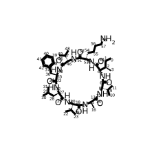 CC[C@@H](C)[C@H]1NC(=O)[C@H](C(C)C)NC(=O)[C@@H](C)NC(=O)[C@H](C(C)C)NC(=O)[C@@H](CC(C)C)NC(=O)[C@@H](Cc2ccccc2)NC(=O)[C@H](C(C)C)NC(=O)[C@H](CCCCN)NC1=O